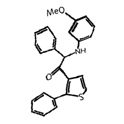 COc1cccc(NC(C(=O)c2ccsc2-c2ccccc2)c2ccccc2)c1